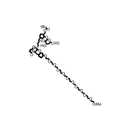 COCCOCCOCCOCCOCCOCCOCCOCCOCCOCCOCCOc1ccc(CC(C(=O)NCCCCc2ccc(COC(=O)C(C)(C)C)c(OC3OC(C=O)CC(O)[C@H]3O)c2)N2C(=O)C=CC2=O)cc1